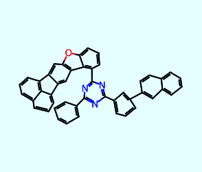 c1ccc(-c2nc(-c3cccc(-c4ccc5ccccc5c4)c3)nc(-c3cccc4oc5cc6c(cc5c34)-c3cccc4cccc-6c34)n2)cc1